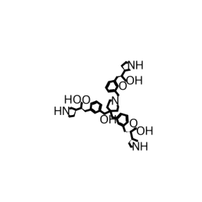 O=C(O)[C@@H](Cc1cccc(CN2CCC(Cc3cccc(C[C@H](C(=O)O)[C@H]4CCNC4)c3)(C(O)c3cccc(C[C@H](C(=O)O)[C@H]4CCNC4)c3)CC2)c1)[C@H]1CCNC1